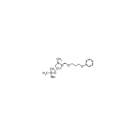 CN1C[C@@H](O[Si](C)(C)C(C)(C)C)C[C@@H]1COCCCOc1ccccc1